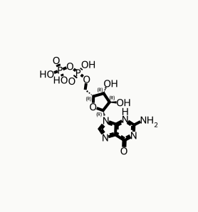 Nc1nc(=O)c2ncn([C@@H]3O[C@H](COP(=O)(O)OP(=O)(O)O)[C@H](O)[C@H]3O)c2[nH]1